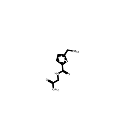 COCc1ccc(C(=O)NCC(=O)OC)s1